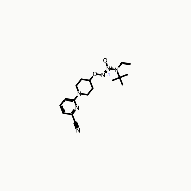 CCN(/[N+]([O-])=N/OC1CCN(c2cccc(C#N)n2)CC1)C(C)(C)C